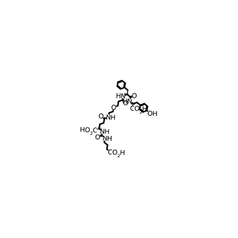 O=C(O)CCCNC(=O)N[C@@H](CCC(=O)NCCOCCC(=O)N[C@@H](Cc1ccccc1)C(=O)N[C@H](Cc1ccc(O)cc1)C(=O)O)C(=O)O